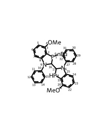 CCCCP1c2c(OC)cccc2N(c2ccccc2)C1C1Pc2c(OC)cccc2N1c1ccccc1